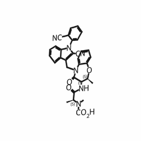 C[C@@H]1Oc2ccccc2N(Cc2c(C#N)n(-c3ccccc3C#N)c3ccccc23)C(=O)[C@H]1NC(=O)[C@H](C)N(C)C(=O)O